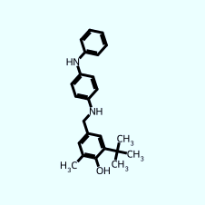 Cc1cc(CNc2ccc(Nc3ccccc3)cc2)cc(C(C)(C)C)c1O